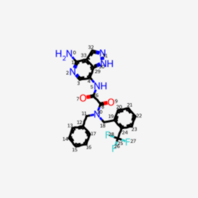 Nc1ncc(NC(=O)C(=O)N(Cc2ccccc2)Cc2ccccc2C(F)(F)F)c2[nH]ncc12